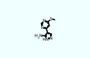 CSc1cc(-c2cn[nH]c2N)ncn1